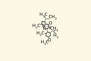 CCc1cc(OC)cc(C)c1-c1nn2c(C)cc(C(CC)CC)c2c(=O)n1C